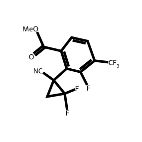 COC(=O)c1ccc(C(F)(F)F)c(F)c1C1(C#N)CC1(F)F